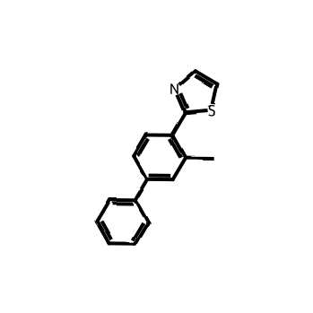 Cc1cc(-c2ccccc2)ccc1-c1nccs1